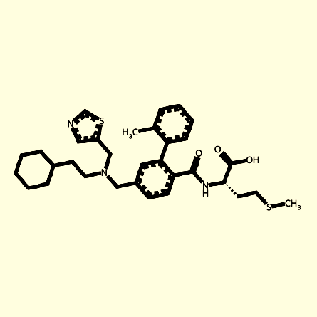 CSCC[C@H](NC(=O)c1ccc(CN(CCC2CCCCC2)Cc2cncs2)cc1-c1ccccc1C)C(=O)O